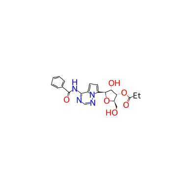 CCC(=O)O[C@H]1[C@@H](O)[C@H](c2ccc3c(NC(=O)c4ccccc4)ncnn23)O[C@@H]1CO